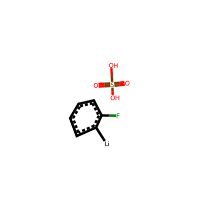 O=S(=O)(O)O.[Li][c]1ccccc1F